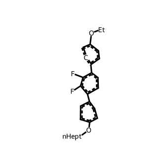 CCCCCCCOc1ccc(-c2ccc(-c3ccc(OCC)cc3)c(F)c2F)cc1